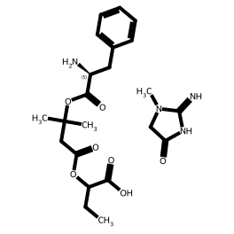 CCC(OC(=O)CC(C)(C)OC(=O)[C@@H](N)Cc1ccccc1)C(=O)O.CN1CC(=O)NC1=N